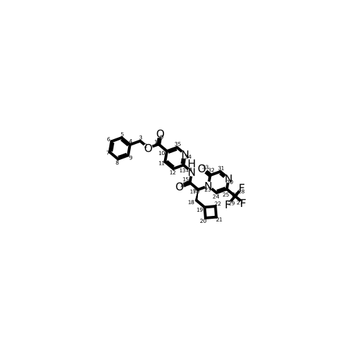 O=C(OCc1ccccc1)c1ccc(NC(=O)[C@H](CC2CCC2)n2cc(C(F)(F)F)ncc2=O)nc1